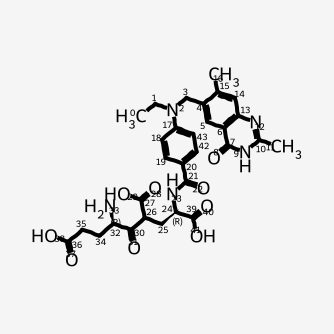 CCN(Cc1cc2c(=O)[nH]c(C)nc2cc1C)c1ccc(C(=O)N[C@H](CC(C(=O)O)C(=O)[C@H](N)CCC(=O)O)C(=O)O)cc1